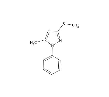 CSc1cc(C)n(-c2ccccc2)n1